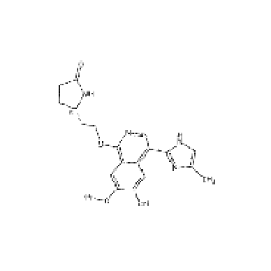 Cc1c[nH]c(-c2cnc(OCC[C@@H]3CCC(=O)N3)c3cc(OC(C)C)c(C#N)cc23)n1